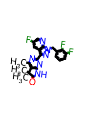 Cc1nc(-c2nn(Cc3cccc(F)c3F)c3ncc(F)cc23)nc2c1C(C)(C)C(=O)N2